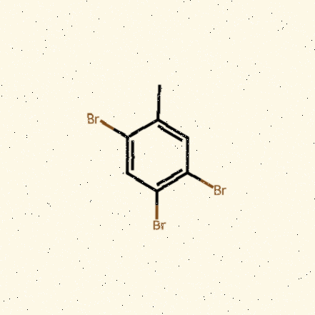 Cc1cc(Br)c(Br)[c]c1Br